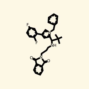 CC(C)(C)C(NCCCN1C(=O)c2ccccc2C1=O)c1cc(-c2cc(F)ccc2F)cn1Cc1ccccc1